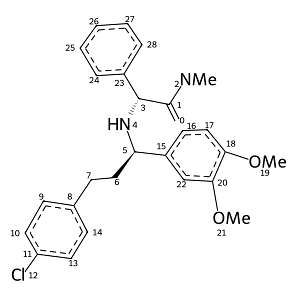 C=C(NC)[C@H](N[C@H](CCc1ccc(Cl)cc1)c1ccc(OC)c(OC)c1)c1ccccc1